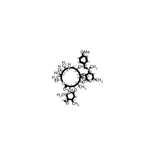 CC[C@H]1OC(=O)[C@H](C)[C@@H](O[C@H]2CC(C)[C@]3(CO3)[C@H](C)O2)[C@H](C)[C@@H](O[C@@H]2O[C@H](C)CC(N(C)Cc3ccc(OC)cc3)[C@H]2O)[C@](C)(O)C[C@@H](C)CN[C@H](C)[C@@H](O)[C@]1(C)O